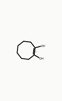 O/C1=C(\O)CCCCCC1